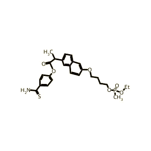 CCOP(C)(=O)OCCCCOc1ccc2cc(C(C)C(=O)Oc3ccc(C(N)=S)cc3)ccc2c1